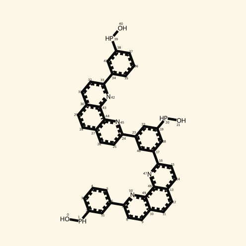 OPc1cccc(-c2ccc3ccc4ccc(-c5cc(PO)cc(-c6ccc7ccc8ccc(-c9cccc(PO)c9)nc8c7n6)c5)nc4c3n2)c1